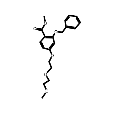 COCCOCCOc1ccc(C(=O)OC)c(OCc2ccccc2)c1